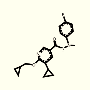 CN(NC(=O)c1cnc(OCC2CC2)c(C2CC2)c1)c1ccc(F)cc1